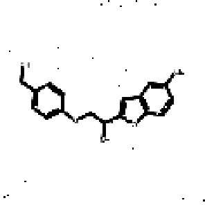 CC(C)(C)c1ccc2oc(C(O)COc3ccc(CO)cc3)cc2c1